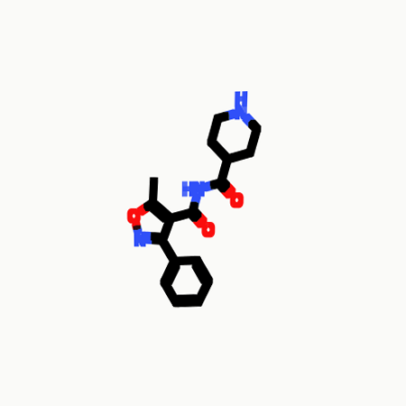 Cc1onc(-c2ccccc2)c1C(=O)NC(=O)C1CCNCC1